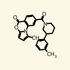 Cc1cccc(C2CCCN(C(=O)c3ccc4c(=O)oc5ccc(C)n5c4c3)C2)c1